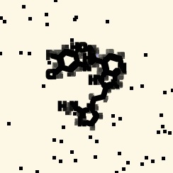 NC1=NCCN1CCc1nc2nccc(/C(=N/O)Nc3ccc(F)c(Cl)c3)c2[nH]1